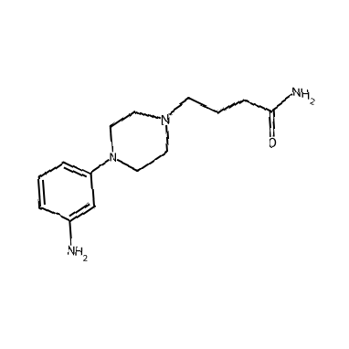 NC(=O)CCCN1CCN(c2cccc(N)c2)CC1